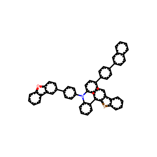 c1ccc(N(c2ccc(-c3ccc(-c4ccc5ccccc5c4)cc3)cc2)c2ccc(-c3ccc4oc5ccccc5c4c3)cc2)c(-c2cccc3c2sc2ccccc23)c1